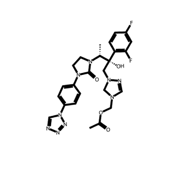 CC(=O)OCN1C=NN(C[C@](O)(c2ccc(F)cc2F)[C@@H](C)N2CCN(c3ccc(-n4cnnn4)cc3)C2=O)C1